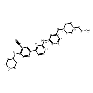 N#Cc1cc(-c2ccnc(Nc3cncc(CN4CCN(CCO)CC4)c3)n2)ccc1OC1CCOCC1